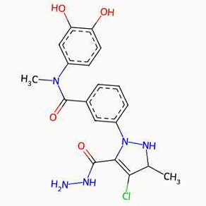 CC1NN(c2cccc(C(=O)N(C)c3ccc(O)c(O)c3)c2)C(C(=O)NN)=C1Cl